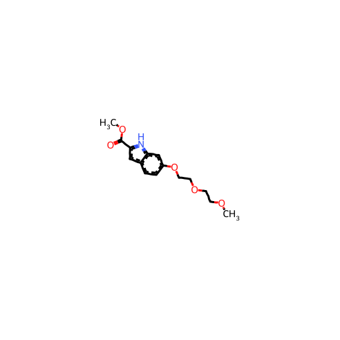 COCCOCCOc1ccc2cc(C(=O)OC)[nH]c2c1